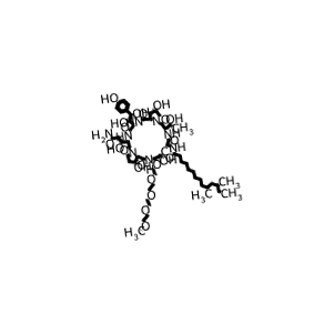 CCC(C)CC(C)CCCCCCCCC(=O)N[C@H]1C[C@@H](O)[C@@H](OCCOCCOCCOCCOC)NC(=O)C2[C@@H](O)CCN2C(=O)C([C@H](O)CC(N)=O)NC(=O)C([C@H](O)[C@@H](O)c2ccc(O)cc2)NC(=O)C2C[C@@H](O)CN2C(=O)C([C@@H](C)O)NC1=O